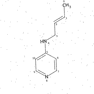 CC=CCNc1ccncc1